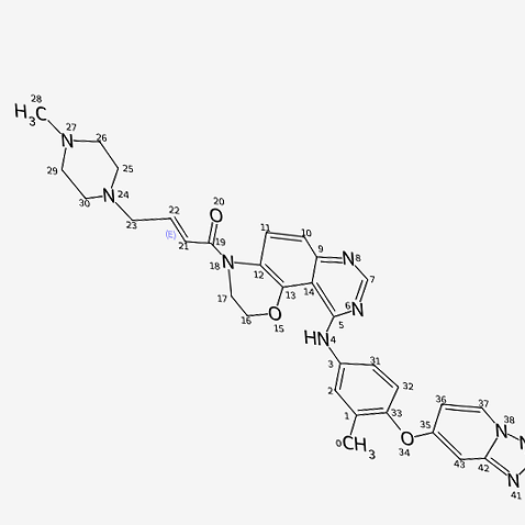 Cc1cc(Nc2ncnc3ccc4c(c23)OCCN4C(=O)/C=C/CN2CCN(C)CC2)ccc1Oc1ccn2ncnc2c1